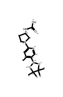 Cc1cc(N2CC[C@H](NC(=O)O)C2)ncc1B1OC(C)(C)C(C)(C)O1